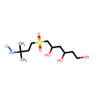 CC(C)(CCS(=O)(=O)CC(O)CC(O)CCO)NCl